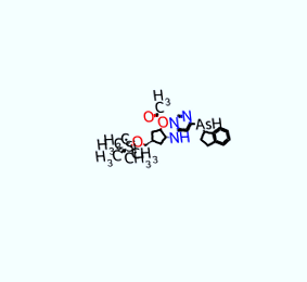 CC(=O)O[C@@H]1C[C@H](CO[Si](C)(C)C(C)(C)C)C[C@H]1Nc1cc([AsH][C@H]2CCc3ccccc32)ncn1